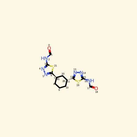 O=CNc1nnc([C@@H]2CCC[C@@H](c3nnc(NC=O)s3)C2)s1